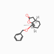 C[C@@]1(OCc2ccccc2)C[C@H]2CCC[C@H]3CC(=O)OC23C1